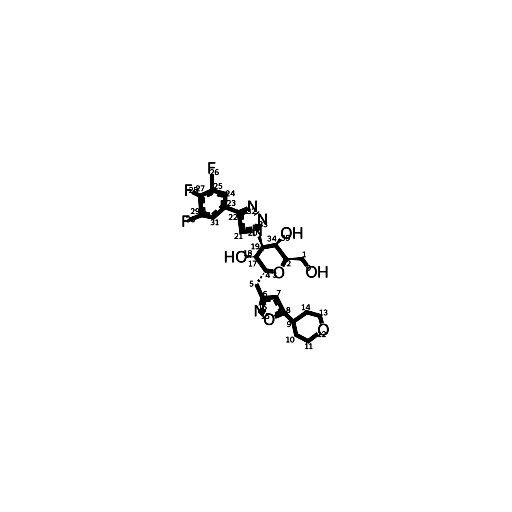 OC[C@H]1O[C@H](Cc2cc(C3CCOCC3)on2)[C@H](O)[C@@H](n2cc(-c3cc(F)c(F)c(F)c3)nn2)[C@H]1O